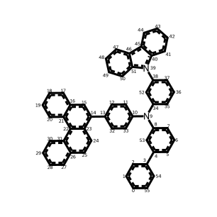 c1ccc(-c2cccc(N(c3ccc(-c4cc5ccccc5c5c4ccc4ccccc45)cc3)c3cccc(-n4c5ccccc5c5ccccc54)c3)c2)cc1